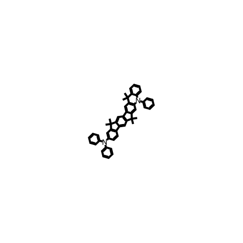 CC1(C)c2cc(N(c3ccccc3)c3ccccc3)ccc2-c2cc3c(cc21)-c1cc2c(cc1C3(C)C)N(c1ccccc1)c1ccccc1C2(C)C